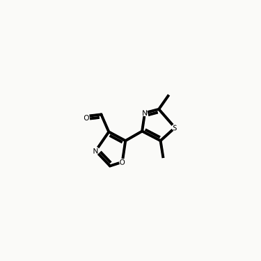 Cc1nc(-c2ocnc2C=O)c(C)s1